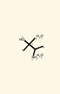 CC(N)C(C)(C)O.O.O